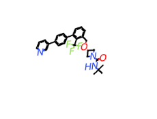 CC(C)(C)NC(=O)N1CC(OCc2cccc(-c3ccc(-c4cccnc4)cc3)c2C(F)(F)F)C1